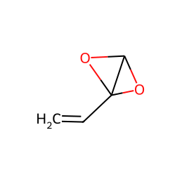 C=CC12OC1O2